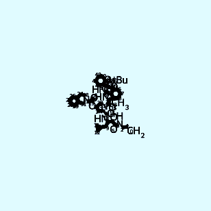 C=CCNC(=O)C(=O)C(CC1CC1)NC(=O)[C@@H]1C[C@@H](OC(=O)N2CCc3ccccc3C2)CN1C(=O)[C@@H](NC(=O)NC1(CS(=O)(=O)C(C)(C)C)CCCCC1)C1(C)CCCCC1